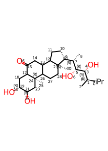 CC(C)[C@@H](C)[C@@H](O)[C@H](O)[C@@H](C)[C@H]1CCC2C3CC(=O)C4C[C@@H](O)[C@H](O)C[C@]4(C)C3CC[C@@]21C